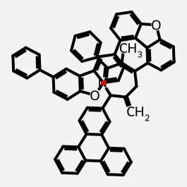 C=C1CC(c2cccc3oc4cccc(-c5ccc6oc7ccc(-c8ccccc8)cc7c6c5)c4c23)=C(C)C(c2ccccc2)=NC1c1ccc2c3ccccc3c3ccccc3c2c1